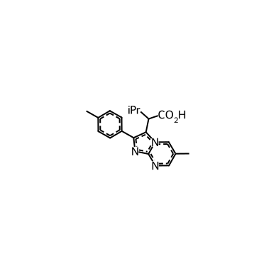 Cc1ccc(-c2nc3ncc(C)cn3c2C(C(=O)O)C(C)C)cc1